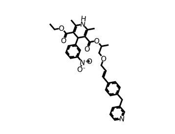 CCOC(=O)C1=C(C)NC(C)=C(C(=O)OC(C)COCC=Cc2ccc(Cc3cccnc3)cc2)C1c1cccc([N+](=O)[O-])c1